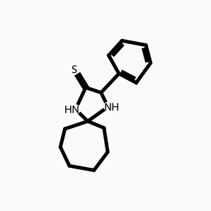 S=C1NC2(CCCCCC2)NC1c1ccccc1